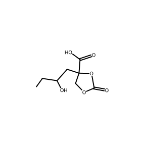 CCC(O)CC1(C(=O)O)COC(=O)O1